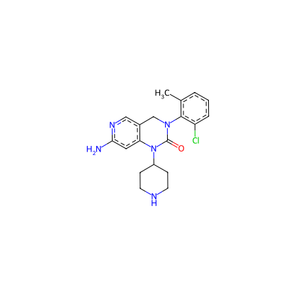 Cc1cccc(Cl)c1N1Cc2cnc(N)cc2N(C2CCNCC2)C1=O